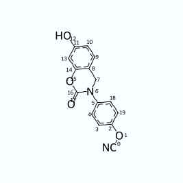 N#COc1ccc(N2Cc3ccc(O)cc3OC2=O)cc1